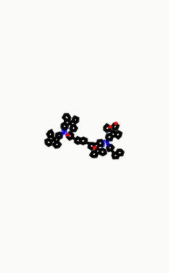 c1ccc(C2(c3ccccc3)c3ccccc3-c3cc(N(c4ccc(-c5ccc6cc(-c7ccc8c(c7)-c7ccc(N(c9ccc(-c%10cccc%11ccccc%10%11)cc9)c9ccc%10c(c9)-c9ccccc9C%10(c9ccccc9)c9ccccc9)cc7C8(c7ccccc7)c7ccccc7)ccc6c5)cc4)c4ccc5c(c4)C(c4ccccc4)(c4ccccc4)c4ccccc4-5)ccc32)cc1